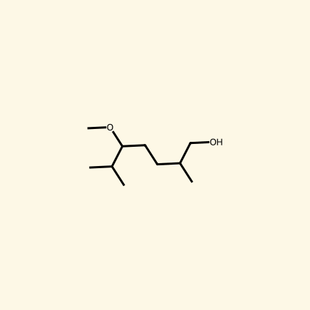 COC(CCC(C)CO)C(C)C